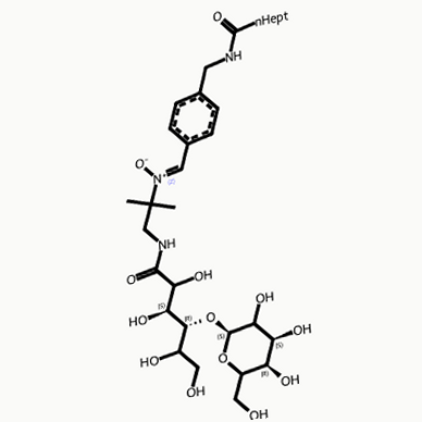 CCCCCCCC(=O)NCc1ccc(/C=[N+](\[O-])C(C)(C)CNC(=O)C(O)[C@H](O)[C@H](O[C@@H]2OC(CO)[C@H](O)[C@H](O)C2O)C(O)CO)cc1